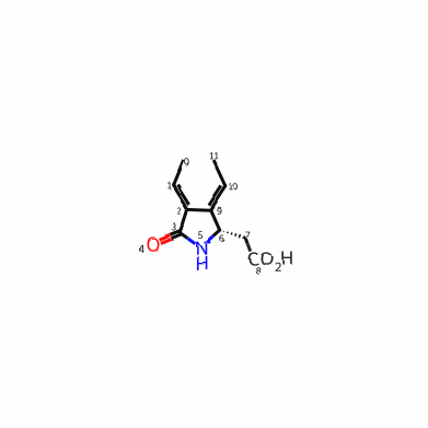 C/C=C1/C(=O)N[C@@H](CC(=O)O)/C1=C/C